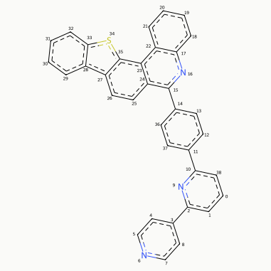 c1cc(-c2ccncc2)nc(-c2ccc(-c3nc4ccccc4c4c3ccc3c5ccccc5sc34)cc2)c1